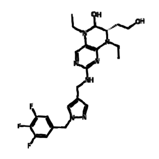 CCN1c2cnc(NCc3cnn(Cc4cc(F)c(F)c(F)c4)c3)nc2N(CC)[C@@H](CCO)C1O